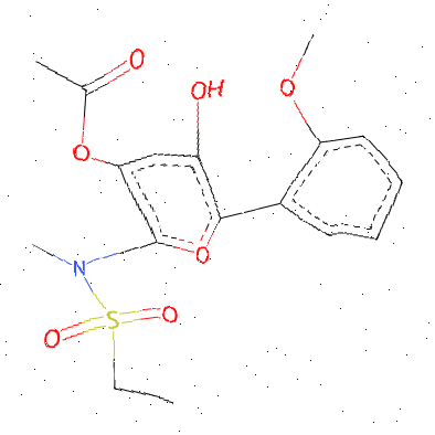 CCS(=O)(=O)N(C)c1oc(-c2ccccc2OC)c(O)c1OC(C)=O